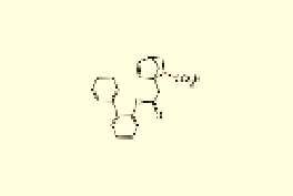 O=C(CC12C=CC(CC1C(=O)O)C2)Oc1ccccc1-c1ccccc1